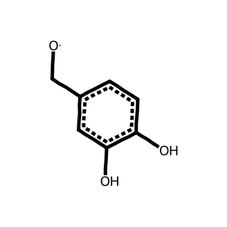 [O]Cc1ccc(O)c(O)c1